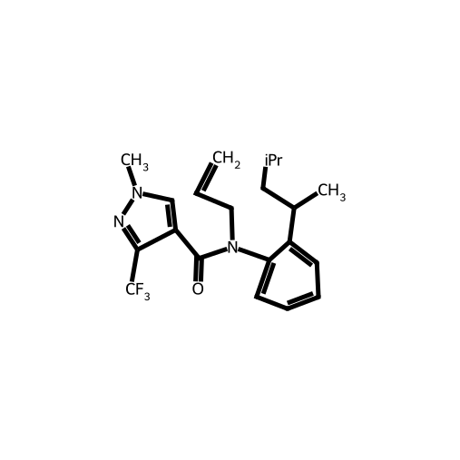 C=CCN(C(=O)c1cn(C)nc1C(F)(F)F)c1ccccc1C(C)CC(C)C